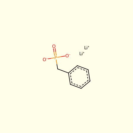 O=P([O-])([O-])Cc1ccccc1.[Li+].[Li+]